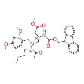 CCCCC[C@@H](C(C)=O)N(Cc1ccc(OC)cc1OC)C[C@@H](CC(=O)OC)NC(=O)OCC1c2ccccc2-c2ccccc21